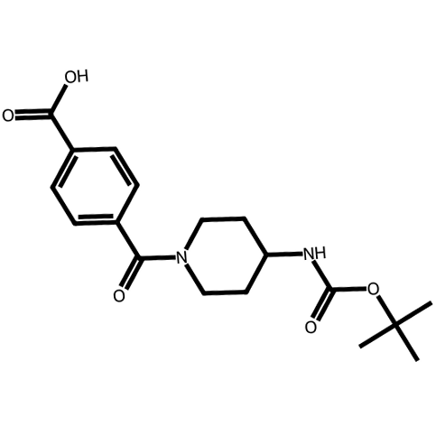 CC(C)(C)OC(=O)NC1CCN(C(=O)c2ccc(C(=O)O)cc2)CC1